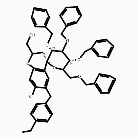 CCc1ccc(Cc2cc3c(cc2Cl)OC(CO)C[C@]32OC(COCc3ccccc3)[C@@H](OCc3ccccc3)C(OCc3ccccc3)[C@H]2OCc2ccccc2)cc1